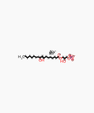 CCCCCCCCC(O)C=CCCCCCCC(=O)OC[C@H](O)COP(=O)([O-])[O-].[Na+].[Na+]